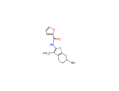 CC(C)(C)C1CCc2c(sc(NC(=O)c3ccco3)c2C(=O)O)C1